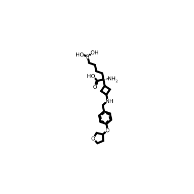 N[C@@](CCCCB(O)O)(C(=O)O)C1CC(NCc2ccc(OC3CCOC3)cc2)C1